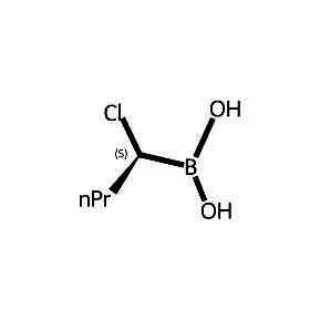 CCC[C@@H](Cl)B(O)O